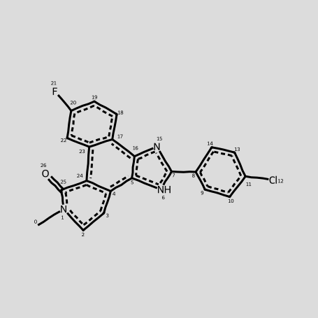 Cn1ccc2c3[nH]c(-c4ccc(Cl)cc4)nc3c3ccc(F)cc3c2c1=O